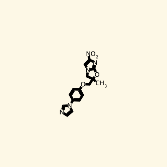 CC1(COc2ccc(-n3ccnc3)cc2)Cn2cc([N+](=O)[O-])nc2O1